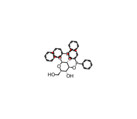 OC[C@H]1O[C@@H](Oc2ccccc2)[C@H](OP(c2ccccc2)c2ccccc2)[C@@H](OP(c2ccccc2)c2ccccc2)[C@@H]1O